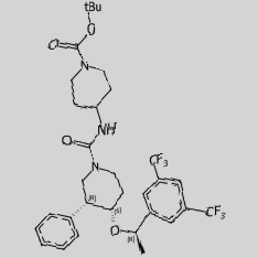 C[C@@H](O[C@H]1CCN(C(=O)NC2CCN(C(=O)OC(C)(C)C)CC2)C[C@H]1c1ccccc1)c1cc(C(F)(F)F)cc(C(F)(F)F)c1